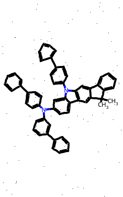 CC1(C)c2ccccc2-c2cc3c(cc21)c1ccc(N(c2ccc(-c4ccccc4)cc2)c2cccc(-c4ccccc4)c2)cc1n3-c1ccc(-c2ccccc2)cc1